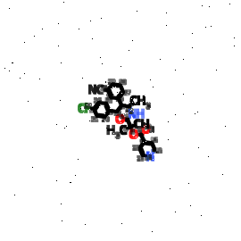 CC(NC(=O)C(C)(C)OC(=O)c1ccncc1)C(Cc1ccc(Cl)cc1)c1cccc(C#N)c1